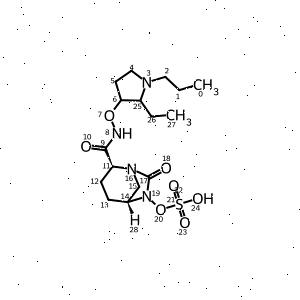 CCCN1CCC(ONC(=O)[C@@H]2CC[C@@H]3CN2C(=O)N3OS(=O)(=O)O)C1CC